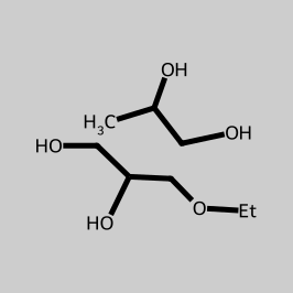 CC(O)CO.CCOCC(O)CO